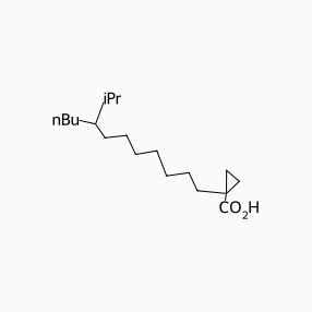 CCCCC(CCCCCCCC1(C(=O)O)CC1)C(C)C